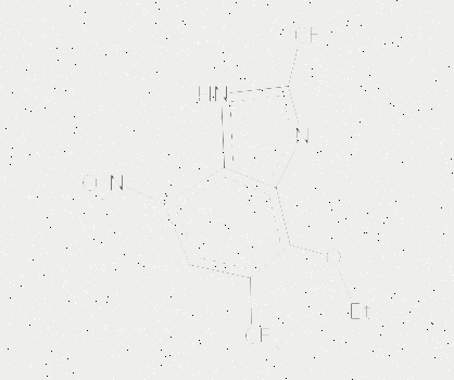 CCOc1c(C(F)(F)F)cc([N+](=O)[O-])c2[nH]c(C(F)(F)F)nc12